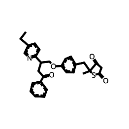 CCc1ccc(C(COc2ccc(CC3(C)SC(=O)CC3=O)cc2)CC(=O)c2ccccc2)nc1